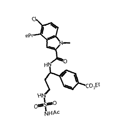 CCCc1c(Cl)ccc2c1cc(C(=O)NC(CCNS(=O)(=O)NC(C)=O)c1ccc(C(=O)OCC)cc1)n2C